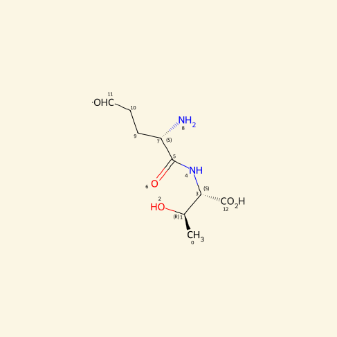 C[C@@H](O)[C@H](NC(=O)[C@@H](N)CC[C]=O)C(=O)O